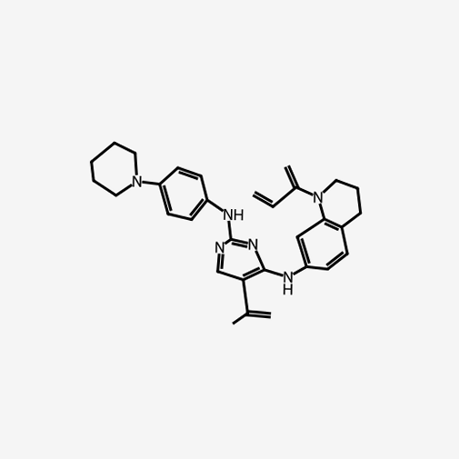 C=CC(=C)N1CCCc2ccc(Nc3nc(Nc4ccc(N5CCCCC5)cc4)ncc3C(=C)C)cc21